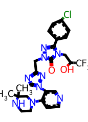 CC1(C)CN(c2ccncc2-n2cnc(Cn3nc(-c4ccc(Cl)cc4)n(CC(O)C(F)(F)F)c3=O)n2)CCN1